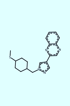 CSC1CCC(Cn2cc(-c3cnc4ccccc4n3)cn2)CC1